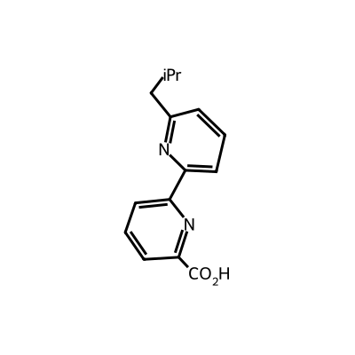 CC(C)Cc1cccc(-c2cccc(C(=O)O)n2)n1